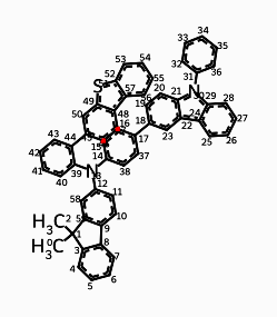 CC1(C)c2ccccc2-c2ccc(N(c3ccc(-c4ccc5c(c4)c4ccccc4n5-c4ccccc4)cc3)c3ccccc3-c3ccc4c(c3)sc3ccccc34)cc21